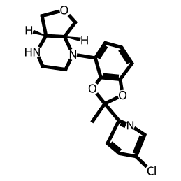 CC1(c2ccc(Cl)cn2)Oc2cccc(N3CCN[C@@H]4COC[C@@H]43)c2O1